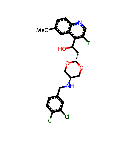 COc1ccc2ncc(F)c(C(O)C[C@H]3OC[C@H](NCc4ccc(Cl)c(Cl)c4)CO3)c2c1